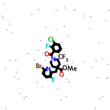 COC(=O)C1(Cc2nc(Br)ccc2F)CCN(C(=O)c2cccc(Cl)c2F)C(C(F)(F)F)C1